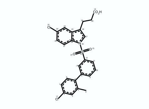 Cc1cc(Cl)ccc1-c1cccc(S(=O)(=O)n2cc(CCC(=O)O)c3cc(Cl)ccc32)c1